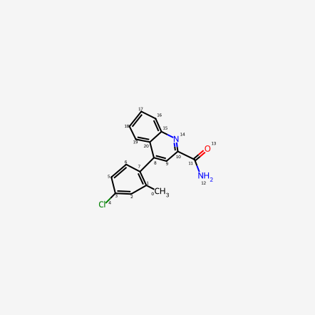 Cc1cc(Cl)ccc1-c1cc(C(N)=O)nc2ccccc12